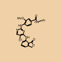 CCCNC(=O)c1ccc(Nc2ncc(C(F)(F)F)c(Nc3cccc4c3C(=O)OC4)n2)c(OC)c1